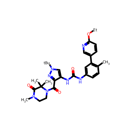 CCOc1ccc(-c2cc(NC(=O)Nc3cn(C(C)(C)C)nc3C(=O)N3CCN(C)C(=O)C3(C)C)ccc2C)cn1